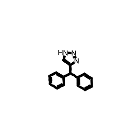 c1ccc(C(c2ccccc2)c2c[nH]nn2)cc1